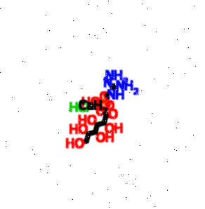 Cl.NN=C(N)NOP(=O)(O)OC(=O)[C@H](O)[C@@H](O)[C@H](O)[C@H](O)CO.[CaH2]